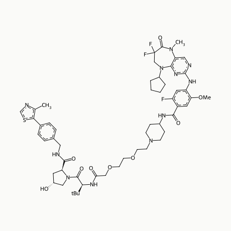 COc1cc(C(=O)NC2CCN(CCOCCOCC(=O)N[C@H](C(=O)N3C[C@H](O)C[C@H]3C(=O)NCc3ccc(-c4scnc4C)cc3)C(C)(C)C)CC2)c(F)cc1Nc1ncc2c(n1)N(C1CCCC1)CC(F)(F)C(=O)N2C